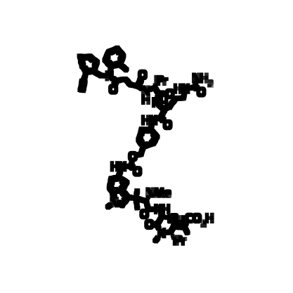 C#Cc1ccccc1CN(C(=O)CCC(=O)N[C@H](C(=O)N[C@@H](CCCNC(N)=O)C(=O)Nc1ccc(COC(=O)Nc2ccc3c(c2)c(C(C)(C)[C@H](NC)C(=O)N[C@H](C(=O)N(C)[C@H](/C=C(\C)C(=O)O)C(C)C)C(C)(C)C)cn3C)cc1)C(C)C)c1ccccc1C